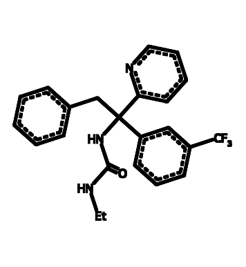 CCNC(=O)NC(Cc1ccccc1)(c1cccc(C(F)(F)F)c1)c1ccccn1